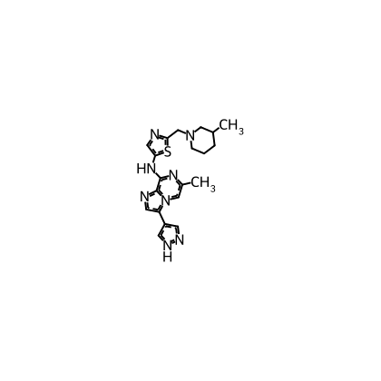 Cc1cn2c(-c3cn[nH]c3)cnc2c(Nc2cnc(CN3CCCC(C)C3)s2)n1